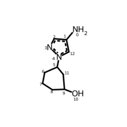 Nc1cnn(C2CCCC(O)C2)c1